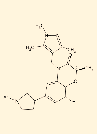 CC(=O)N1CCC(c2cc(F)c3c(c2)N(Cc2c(C)nn(C)c2C)C(=O)[C@@H](C)O3)C1